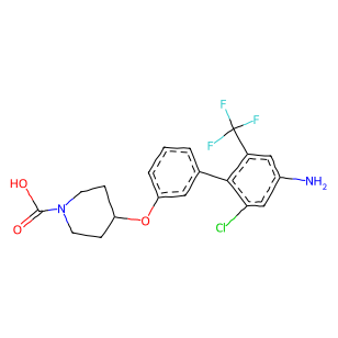 Nc1cc(Cl)c(-c2cccc(OC3CCN(C(=O)O)CC3)c2)c(C(F)(F)F)c1